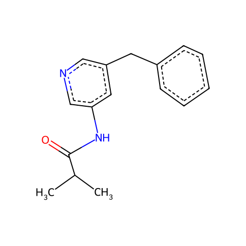 CC(C)C(=O)Nc1cncc(Cc2ccccc2)c1